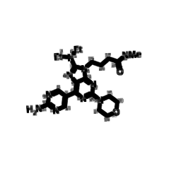 CCN(CC)c1nc2c(-c3cnc(N)nc3)nc(N3CCOCC3)nc2n1CCCC(=O)NC